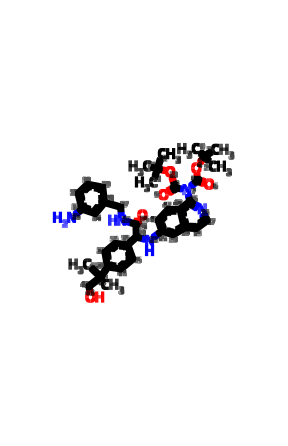 CC(C)(C)OC(=O)N(C(=O)OC(C)(C)C)c1nccc2cc(NC(C(=O)NCc3cccc(N)c3)c3ccc(C(C)(C)CO)cc3)ccc12